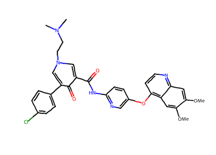 COc1cc2nccc(Oc3ccc(NC(=O)c4cn(CCN(C)C)cc(-c5ccc(Cl)cc5)c4=O)nc3)c2cc1OC